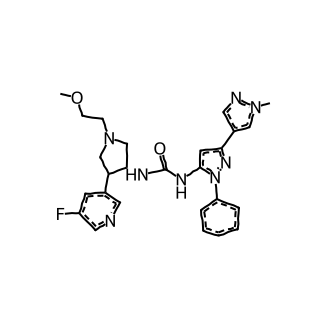 COCCN1CC(NC(=O)Nc2cc(-c3cnn(C)c3)nn2-c2ccccc2)C(c2cncc(F)c2)C1